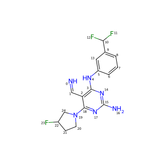 N=Cc1c(Nc2cccc(C(F)F)c2)nc(N)nc1N1CCC(F)C1